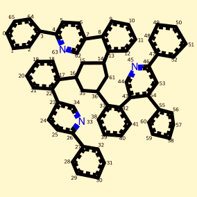 c1ccc(-c2ccc(-c3ccccc3C3CC(c4ccccc4-c4ccc(-c5ccccc5)nc4)CC(c4ccccc4-c4cnc(-c5ccccc5)cc4-c4ccccc4)C3)cn2)cc1